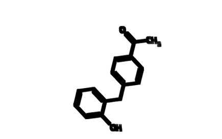 CC(=O)c1ccc(Cc2ccccc2O)cc1